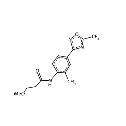 COCCC(=O)Nc1ccc(-c2noc(C(F)(F)F)n2)cc1C